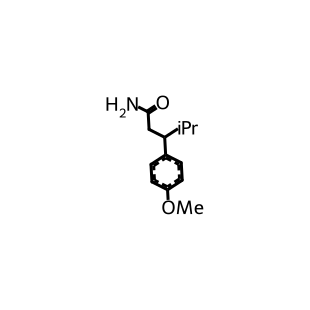 COc1ccc(C(CC(N)=O)C(C)C)cc1